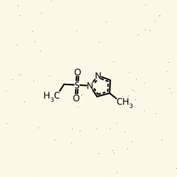 CCS(=O)(=O)n1cc(C)cn1